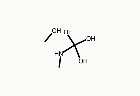 CNC(O)(O)O.CO